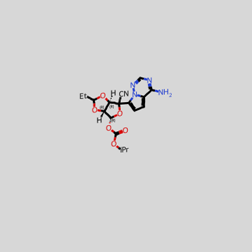 CCC1O[C@H]2[C@@H](OC(=O)OC(C)C)OC(C#N)(c3ccc4c(N)ncnn34)[C@@H]2O1